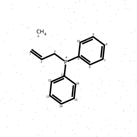 C.C=CCP(c1ccccc1)c1ccccc1